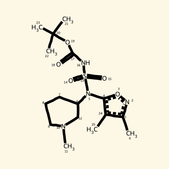 Cc1noc(N(C2CCCN(C)C2)S(=O)(=O)NC(=O)OC(C)(C)C)c1C